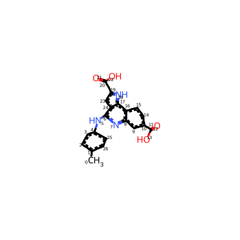 Cc1ccc(Nc2nc3cc(C(=O)O)ccc3c3[nH]c(C(=O)O)cc23)cc1